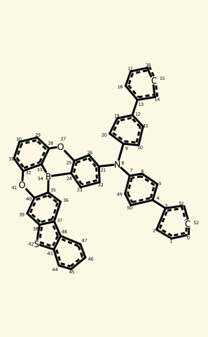 c1ccc(-c2ccc(N(c3ccc(-c4ccccc4)cc3)c3ccc4c(c3)Oc3cccc5c3B4c3cc4c(cc3O5)sc3ccccc34)cc2)cc1